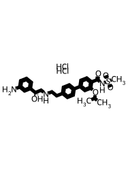 CC(C)Oc1cc(-c2ccc(CCNC[C@H](O)c3cccc(N)c3)cc2)ccc1C(=O)NS(C)(=O)=O.Cl.Cl